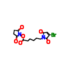 O=C(CCCCCN1C(=O)C=C(Br)C1=O)ON1C(=O)CCC1=O